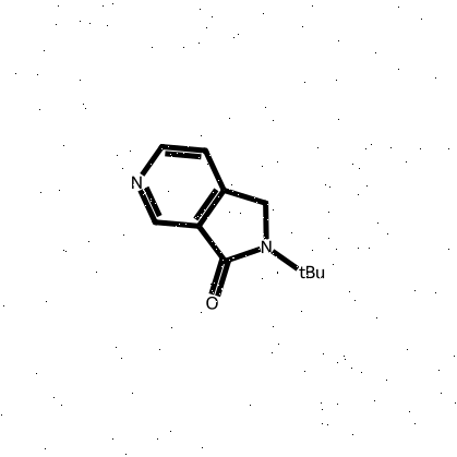 CC(C)(C)N1Cc2ccncc2C1=O